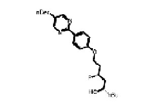 CCCCCCCCCCc1cnc(-c2ccc(OCC[C@H](F)C[C@@H](O)CCCC)cc2)nc1